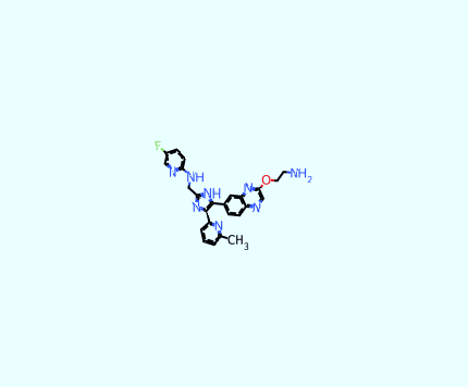 Cc1cccc(-c2nc(CNc3ccc(F)cn3)[nH]c2-c2ccc3ncc(OCCN)nc3c2)n1